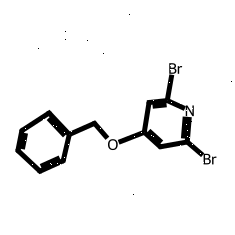 Brc1cc(OCc2ccccc2)cc(Br)n1